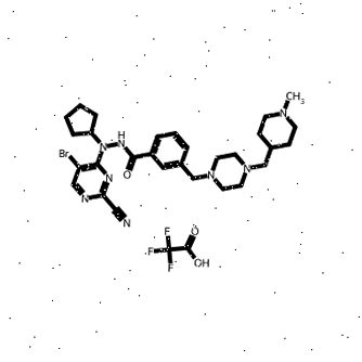 CN1CCC(CN2CCN(Cc3cccc(C(=O)NN(c4nc(C#N)ncc4Br)C4CCCC4)c3)CC2)CC1.O=C(O)C(F)(F)F